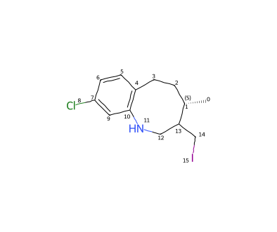 C[C@H]1CCc2ccc(Cl)cc2NCC1CI